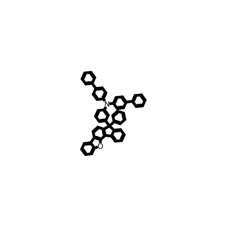 c1ccc(-c2ccc(N(c3ccc(-c4ccccc4)cc3)c3cccc(C4(c5ccccc5)c5ccccc5-c5c4ccc4c5oc5ccccc54)c3)cc2)cc1